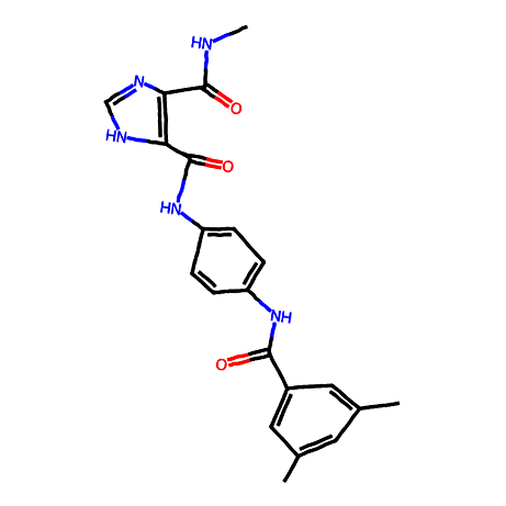 CNC(=O)c1nc[nH]c1C(=O)Nc1ccc(NC(=O)c2cc(C)cc(C)c2)cc1